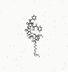 CCCCCCCCCNC(=O)[C@@H]1CN(C(=O)c2ccc(C(=O)N3C[C@@H](C(=O)N[C@H]4C[C@@H]4c4ccccc4)[C@H](C(=O)N[C@H]4C[C@@H]4c4ccccc4)C3)cc2)CCN1C(C)=O